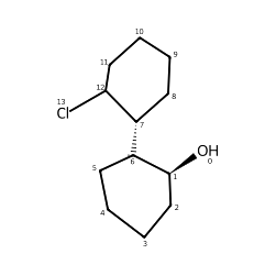 O[C@H]1CCCC[C]1[C@H]1CCCCC1Cl